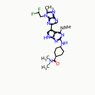 CNc1nc(NC2CCC(C(=O)N(C)C)CC2)nc2[nH]cc(-c3cnc4nc(C)n(CC(F)F)c4n3)c12